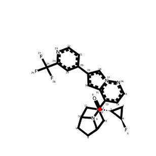 O=C([C@@H]1C[C@H]1F)N1C2CCC1CN(c1ccnn3cc(-c4ccnc(C(F)(F)F)c4)cc13)C2